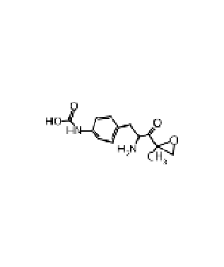 CC1(C(=O)C(N)Cc2ccc(NC(=O)O)cc2)CO1